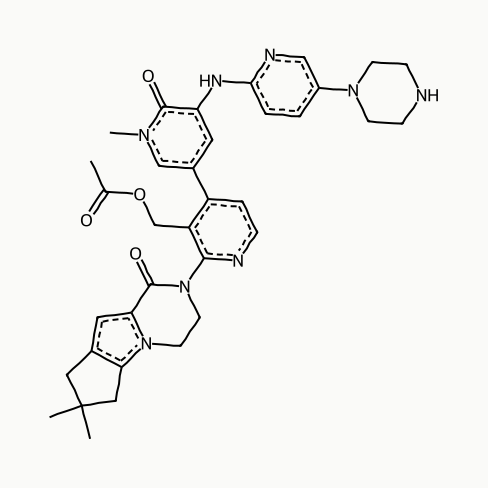 CC(=O)OCc1c(-c2cc(Nc3ccc(N4CCNCC4)cn3)c(=O)n(C)c2)ccnc1N1CCn2c(cc3c2CC(C)(C)C3)C1=O